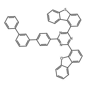 c1ccc(-c2cccc(-c3ccc(-c4nc(-c5cccc6c5oc5ccccc56)nc(-c5cccc6sc7ccccc7c56)n4)cc3)c2)cc1